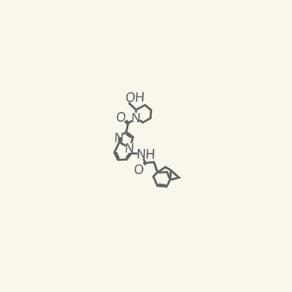 O=C(CC12CC=CC3(CC3C1)C2)Nc1cccc2nc(C(=O)N3CCCCC3CO)cn12